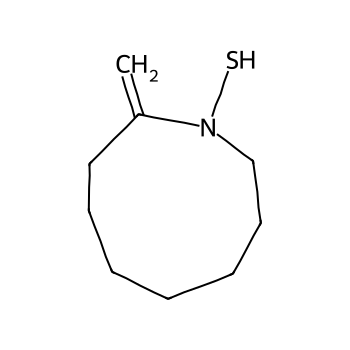 C=C1CCCCCCCN1S